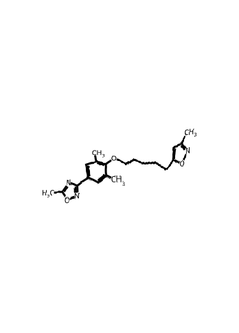 Cc1cc(CCCCCOc2c(C)cc(-c3noc(C)n3)cc2C)on1